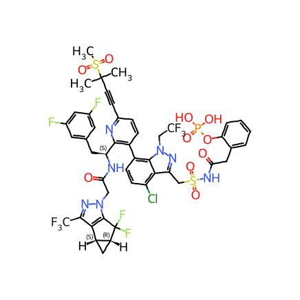 CC(C)(C#Cc1ccc(-c2ccc(Cl)c3c(CS(=O)(=O)NC(=O)Cc4ccccc4OP(=O)(O)O)nn(CC(F)(F)F)c23)c([C@H](Cc2cc(F)cc(F)c2)NC(=O)Cn2nc(C(F)(F)F)c3c2C(F)(F)[C@@H]2C[C@H]32)n1)S(C)(=O)=O